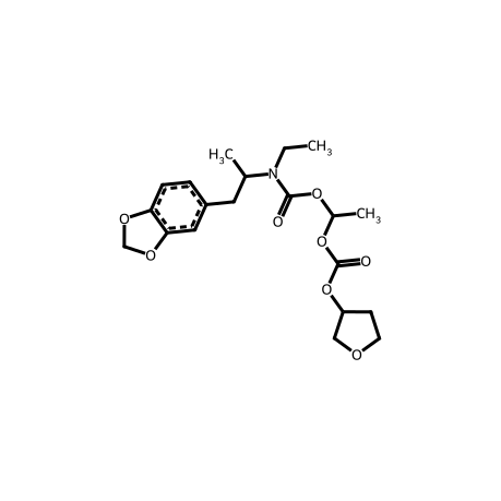 CCN(C(=O)OC(C)OC(=O)OC1CCOC1)C(C)Cc1ccc2c(c1)OCO2